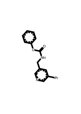 CC(C)c1cncc(CNC(=O)Oc2ccccc2)c1